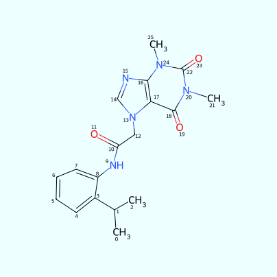 CC(C)c1ccccc1NC(=O)Cn1cnc2c1c(=O)n(C)c(=O)n2C